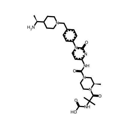 C[C@H](N)C1CCN(Cc2ccc(-n3ccc(NC(=O)N4CCN(C(=O)C(C)(C)NC(=O)O)[C@H](C)C4)nc3=O)cc2)CC1